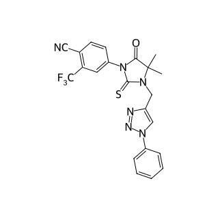 CC1(C)C(=O)N(c2ccc(C#N)c(C(F)(F)F)c2)C(=S)N1Cc1cn(-c2ccccc2)nn1